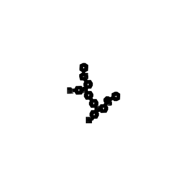 Brc1ccc(N(c2ccc(-c3ccc(N(c4ccc(Br)cc4)c4cccc(-c5ccc(-c6ccccc6)s5)c4)cc3)cc2)c2cccc(C3=CCC(c4ccccc4)S3)c2)cc1